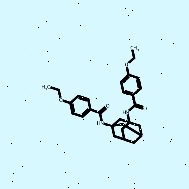 CCOc1ccc(C(=O)NC23CC4CC(C2)CC(NC(=O)c2ccc(OCC)cc2)(C4)C3)cc1